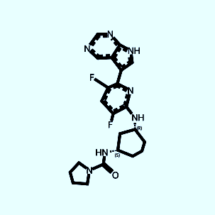 O=C(N[C@H]1CCC[C@@H](Nc2nc(-c3c[nH]c4ncncc34)c(F)cc2F)C1)N1CCCC1